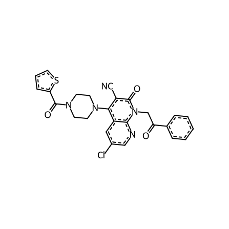 N#Cc1c(N2CCN(C(=O)c3cccs3)CC2)c2cc(Cl)cnc2n(CC(=O)c2ccccc2)c1=O